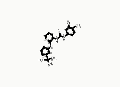 Cc1ccc(NC(=O)Nc2cccnc2Oc2cccc(C(C)(C)C)c2)cc1Cl